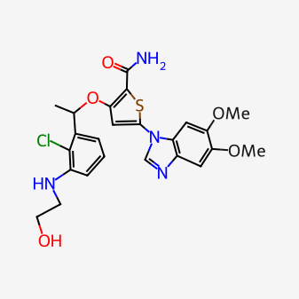 COc1cc2ncn(-c3cc(OC(C)c4cccc(NCCO)c4Cl)c(C(N)=O)s3)c2cc1OC